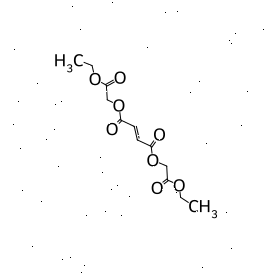 CCOC(=O)COC(=O)/C=C/C(=O)OCC(=O)OCC